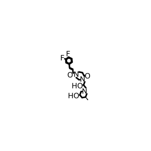 C[C@H]1C[C@@H](O)CN(CC(O)CN2CCN(C(=O)/C=C/c3ccc(F)c(F)c3)CCC2=O)C1